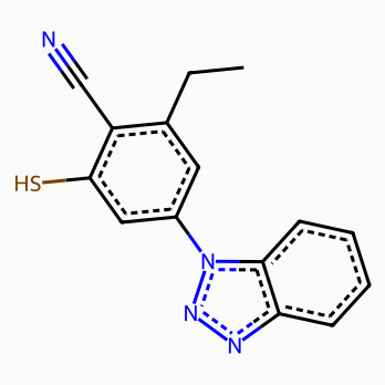 CCc1cc(-n2nnc3ccccc32)cc(S)c1C#N